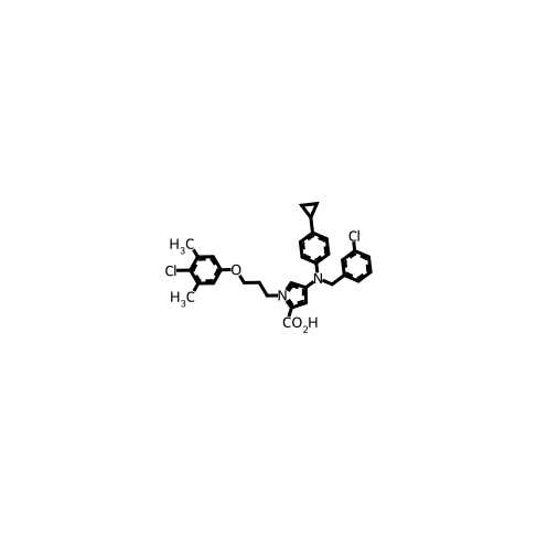 Cc1cc(OCCCn2cc(N(Cc3cccc(Cl)c3)c3ccc(C4CC4)cc3)cc2C(=O)O)cc(C)c1Cl